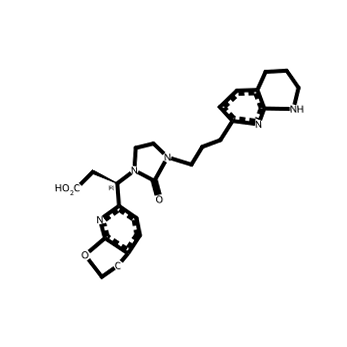 O=C(O)C[C@H](c1ccc2c(n1)OCC2)N1CCN(CCCc2ccc3c(n2)NCCC3)C1=O